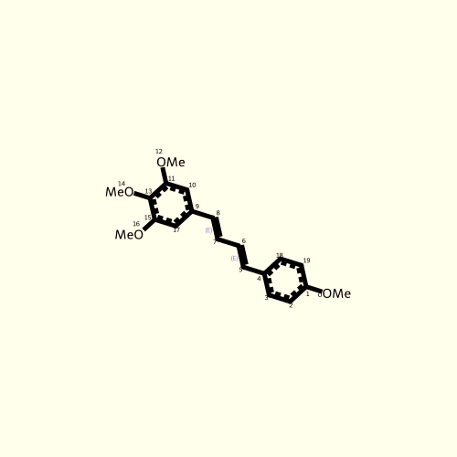 COc1ccc(/C=C/C=C/c2cc(OC)c(OC)c(OC)c2)cc1